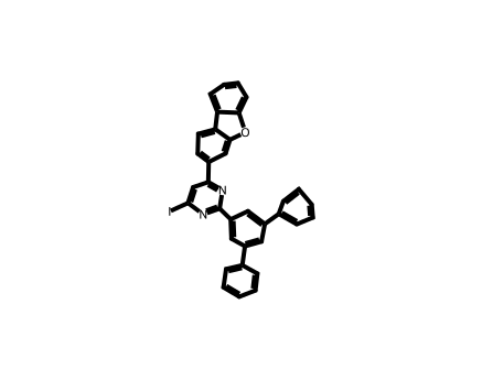 Ic1cc(-c2ccc3c(c2)oc2ccccc23)nc(-c2cc(-c3ccccc3)cc(-c3ccccc3)c2)n1